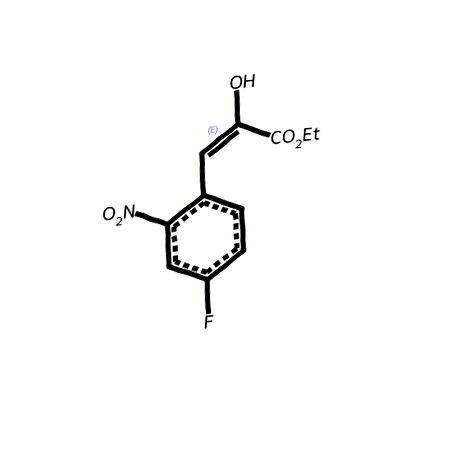 CCOC(=O)/C(O)=C\c1ccc(F)cc1[N+](=O)[O-]